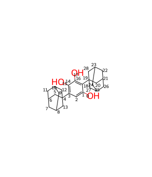 Oc1cc(C23CC4CC(CC(C4)C2)C3)c(O)c(O)c1C12CC3CC(CC(C3)C1)C2